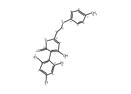 CCc1cc(CC)c(-c2c(O)cc(CCSc3ccc(C)cc3)oc2=O)c(CC)c1